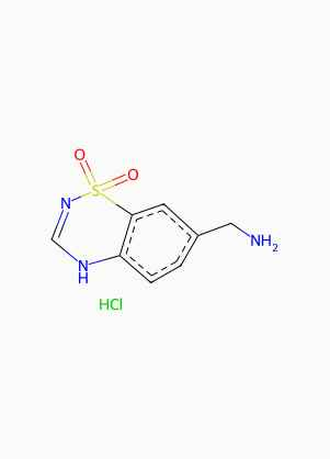 Cl.NCc1ccc2c(c1)S(=O)(=O)N=CN2